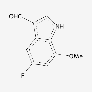 COc1cc(F)cc2c(C=O)c[nH]c12